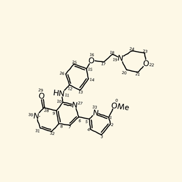 COc1cccc(-c2cc3c(c(Nc4ccc(OCCN5CCOCC5)cc4)n2)C(=O)[N]C=C3)n1